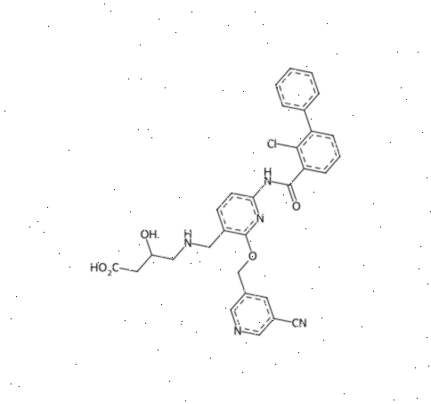 N#Cc1cncc(COc2nc(NC(=O)c3cccc(-c4ccccc4)c3Cl)ccc2CNCC(O)CC(=O)O)c1